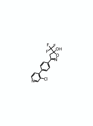 OC1(C(F)(F)F)CC(c2ccc(-c3ccncc3Cl)cc2)=NO1